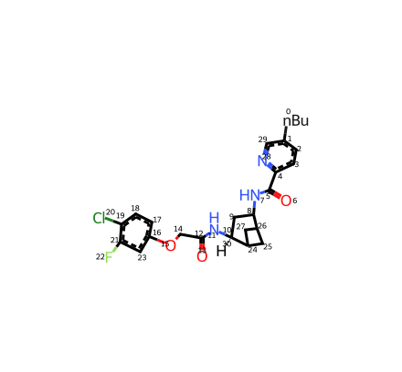 CCCCc1ccc(C(=O)NC2C[C@H](NC(=O)COc3ccc(Cl)c(F)c3)C3CC2C3)nc1